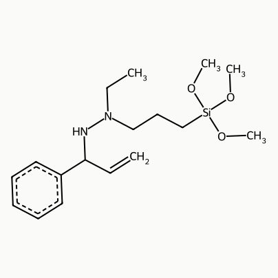 C=CC(NN(CC)CCC[Si](OC)(OC)OC)c1ccccc1